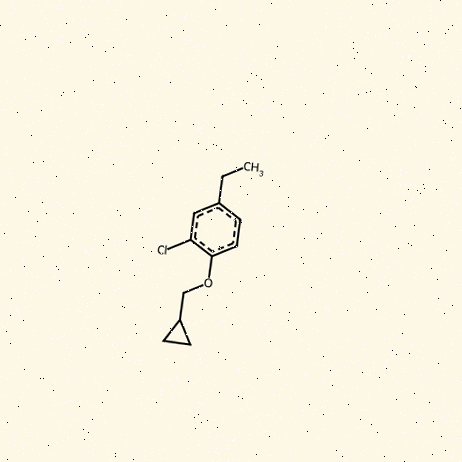 CCc1ccc(OCC2CC2)c(Cl)c1